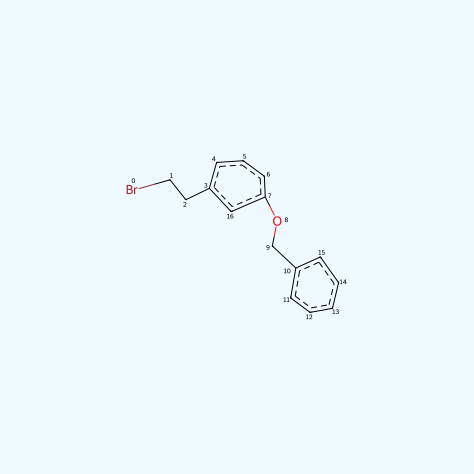 BrCCc1cccc(OCc2ccccc2)c1